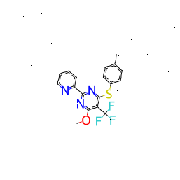 COc1nc(-c2ccccn2)nc(Sc2ccc(C)cc2)c1C(F)(F)F